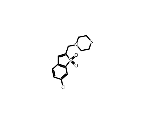 O=S1(=O)C(CN2CCSCC2)=Cc2ccc(Cl)cc21